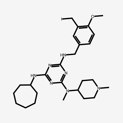 COc1ccc(CNc2nc(NC3CCCCCC3)nc(N(C)C3CCN(C)CC3)n2)cc1CI